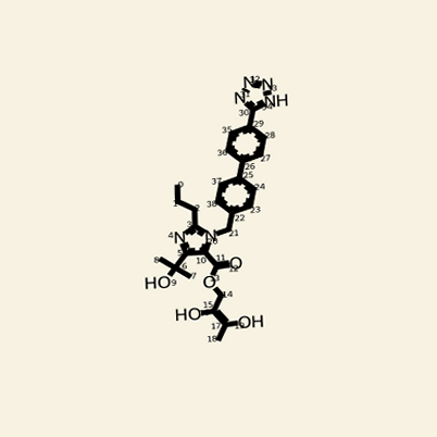 CCCc1nc(C(C)(C)O)c(C(=O)OCC(O)=C(C)O)n1Cc1ccc(-c2ccc(-c3nnn[nH]3)cc2)cc1